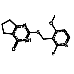 COc1ccnc(F)c1CSc1nc2c(c(=O)[nH]1)CCC2